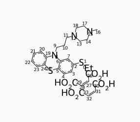 CCSc1ccc2c(c1)N(CCCN1CCN(C)CC1)c1ccccc1S2.O=C(O)/C=C\C(=O)O.O=C(O)/C=C\C(=O)O